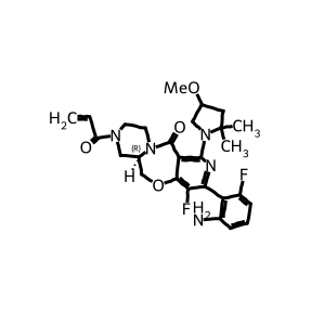 C=CC(=O)N1CCN2C(=O)c3c(N4CC(OC)CC4(C)C)nc(-c4c(N)cccc4F)c(F)c3OC[C@H]2C1